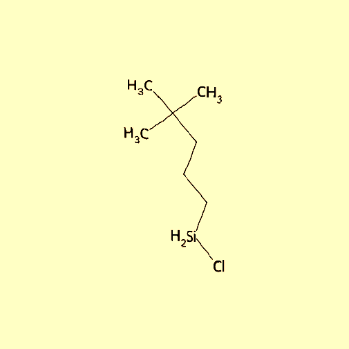 CC(C)(C)CCC[SiH2]Cl